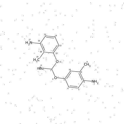 CCCCC(Oc1ccc(N)c(C)c1)Oc1cccc(N)c1C